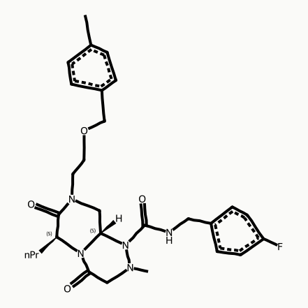 CCC[C@H]1C(=O)N(CCOCc2ccc(C)cc2)C[C@H]2N1C(=O)CN(C)N2C(=O)NCc1ccc(F)cc1